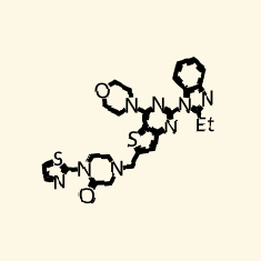 CCc1nc2ccccc2n1-c1nc(N2CCOCC2)c2sc(CN3CCN(c4nccs4)C(=O)C3)cc2n1